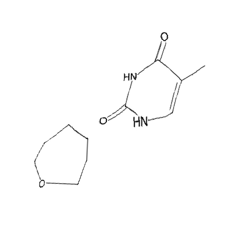 C1CCCOCC1.Cc1c[nH]c(=O)[nH]c1=O